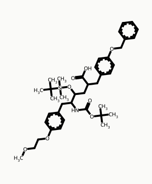 COCCOc1ccc(CC(NC(=O)OC(C)(C)C)C(CC(Cc2ccc(OCc3ccccc3)cc2)C(=O)O)O[Si](C)(C)C(C)(C)C)cc1